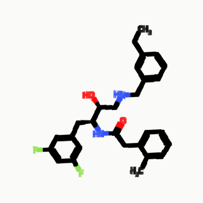 CCc1cccc(CNC[C@H](O)[C@H](Cc2cc(F)cc(F)c2)NC(=O)Cc2ccccc2C)c1